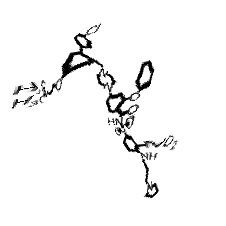 CN(C)CCOc1ccc(-c2ccc(Cl)cc2)c(CN2CCN(c3ccc(C(=O)NS(=O)(=O)c4ccc(NCCCN5CCCC5)c([N+](=O)[O-])c4)c(Oc4ccccc4)c3)CC2)c1